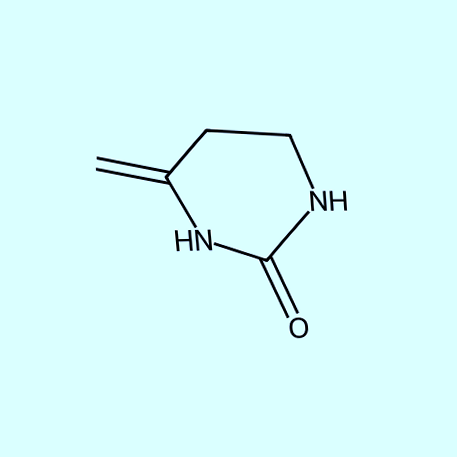 C=C1CCNC(=O)N1